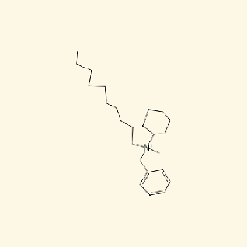 CCCCCCCCCC[N+](C)(Cc1ccccc1)C1CCCCC1